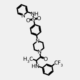 CC(Nc1cccc(C(F)(F)F)c1)C(=O)N1CCN(c2ccc(S(=O)(=O)Nc3ccccn3)cc2)CC1